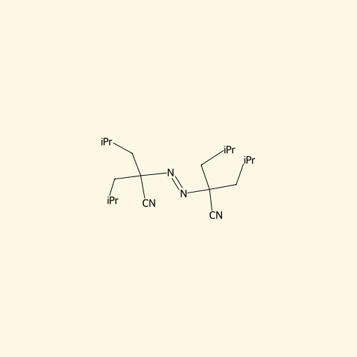 CC(C)CC(C#N)(CC(C)C)N=NC(C#N)(CC(C)C)CC(C)C